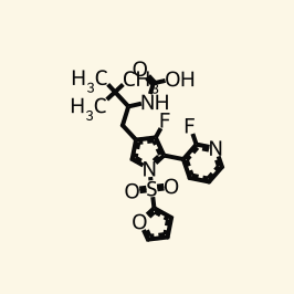 CC(C)(C)C(Cc1cn(S(=O)(=O)c2ccco2)c(-c2cccnc2F)c1F)NC(=O)O